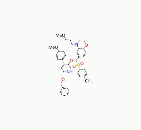 COCCCN1CCOc2ccc(C(O[C@H]3CN[C@H](COCc4ccccc4)C[C@@H]3c3ccc(OC)cc3)S(=O)(=O)c3ccc(C)cc3)cc21